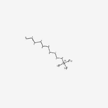 CCCCCCCCCC[Si](F)(F)F